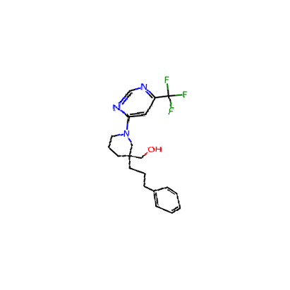 OCC1(CCCc2ccccc2)CCCN(c2cc(C(F)(F)F)ncn2)C1